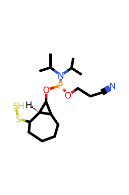 CC(C)N(C(C)C)P(OCCC#N)OC1C2CCCCC(SS)[C@H]21